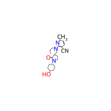 Cc1ccc(C#N)c(N2CCC[C@@]3(CCN([C@H]4CC[C@H](O)CC4)C3=O)C2)n1